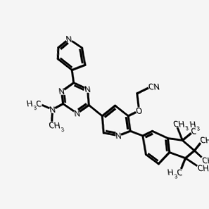 CN(C)c1nc(-c2ccncc2)nc(-c2cnc(-c3ccc4c(c3)C(C)(C)C(C)(C)C4(C)C)c(OCC#N)c2)n1